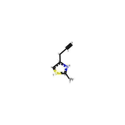 C#CCc1csc(C(C)C)n1